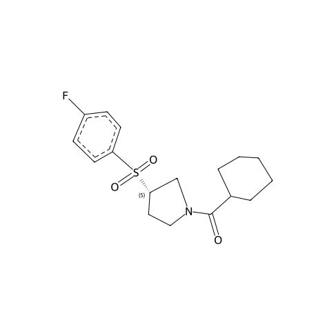 O=C(C1CCCCC1)N1CC[C@H](S(=O)(=O)c2ccc(F)cc2)C1